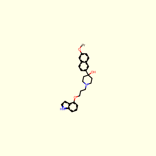 CC(C)Oc1ccc2cc(C3(O)CCN(CCCOc4cccc5[nH]ccc45)CC3)ccc2c1